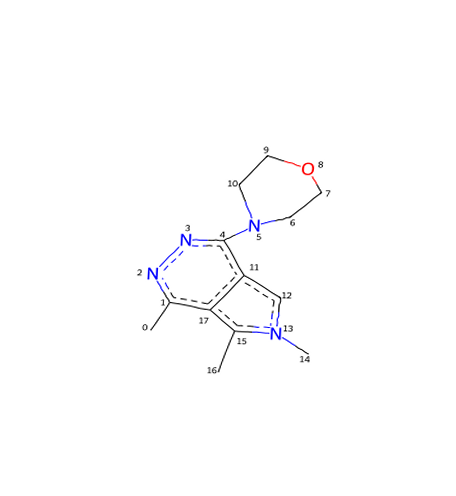 Cc1nnc(N2CCOCC2)c2cn(C)c(C)c12